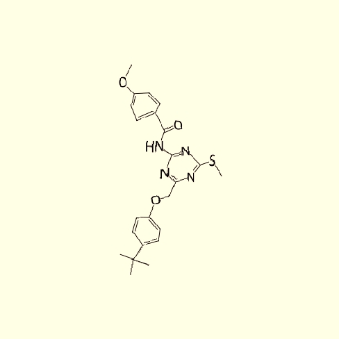 COc1ccc(C(=O)Nc2nc(COc3ccc(C(C)(C)C)cc3)nc(SC)n2)cc1